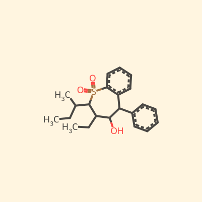 CCC(C)C1C(CC)C(O)C(c2ccccc2)c2ccccc2S1(=O)=O